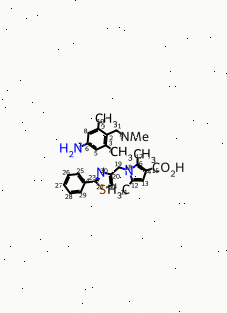 CNCc1c(C)cc(N)cc1C.Cc1cc(C(=O)O)c(C)n1Cc1csc(-c2ccccc2)n1